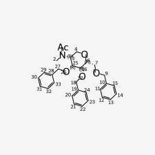 CC(=O)N(C)[C@@H]1CO[C@H](COCc2ccccc2)[C@H](OCc2ccccc2)[C@@H]1OCc1ccccc1